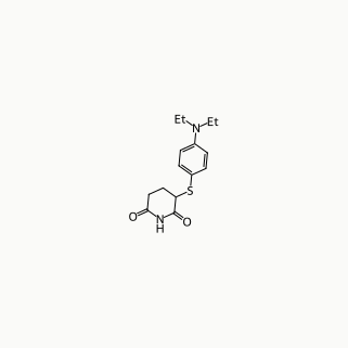 CCN(CC)c1ccc(SC2CCC(=O)NC2=O)cc1